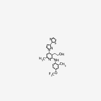 Cc1cc(-n2ccc(-c3nccs3)n2)c(CCO)c(Nc2ccc(OC(F)(F)F)cc2C)n1